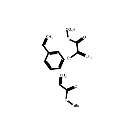 C=C(CC)C(=O)OC(=O)O.C=CC(=O)OCCCC.C=Cc1ccccc1